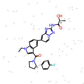 CCn1cc(C(=O)N2CCC[C@H]2c2ccc(F)cc2)c2cc(-c3ccn4nc(NC(=O)[C@H](C)O)nc4c3)ccc21